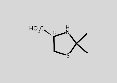 CC1(C)N[C@@H](C(=O)O)CS1